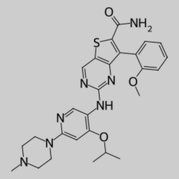 COc1ccccc1-c1c(C(N)=O)sc2cnc(Nc3cnc(N4CCN(C)CC4)cc3OC(C)C)nc12